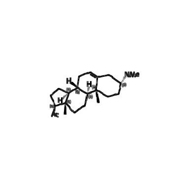 CN[C@@H]1CC[C@@]2(C)C(=CC[C@H]3[C@@H]4CC[C@H](C(C)=O)[C@@]4(C)CC[C@@H]32)C1